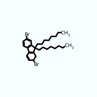 CCCCCCCCC1(CCCCCCCC)C2=C(C=CC(Br)C2)c2ccc(Br)cc21